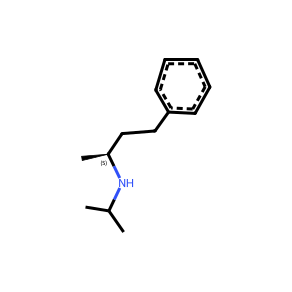 CC(C)N[C@@H](C)CCc1ccccc1